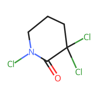 O=C1N(Cl)CCCC1(Cl)Cl